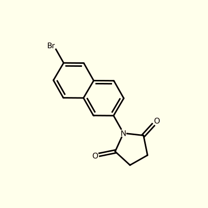 O=C1CCC(=O)N1c1ccc2cc(Br)ccc2c1